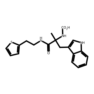 CC(Cc1c[nH]c2ccccc12)(NC(=O)O)C(=O)NCCc1cccs1